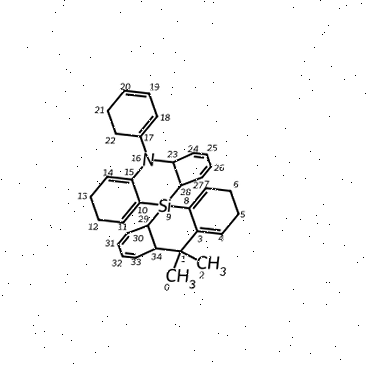 CC1(C)C2=CCCC=C2[Si]2(C3=CCCC=C3N(C3=CC=CCC3)C3C=CC=CC32)C2C=CC=CC21